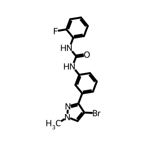 Cn1cc(Br)c(-c2cccc(NC(=O)Nc3ccccc3F)c2)n1